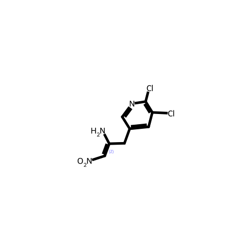 N/C(=C\[N+](=O)[O-])Cc1cnc(Cl)c(Cl)c1